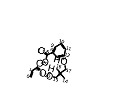 C=CC(=O)OOC(=O)c1ccccc1.CC(C)(CO)CO